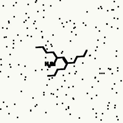 CCCCC(=C[CH]([SnH3])CCCC)CCCC